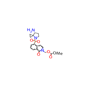 COC(=O)OCn1ccc2c(S(=O)(=O)N3CC[C@@H](N)C34CC4)cccc2c1=O